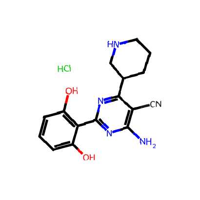 Cl.N#Cc1c(N)nc(-c2c(O)cccc2O)nc1C1CCCNC1